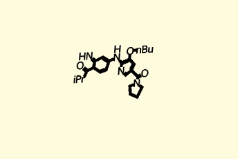 CCCCOc1cc(C(=O)N2CCCC2)cnc1NC1=CC(=N)C(C(=O)C(C)C)C=C1